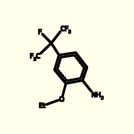 CCOc1cc(C(F)(C(F)(F)F)C(F)(F)F)ccc1N